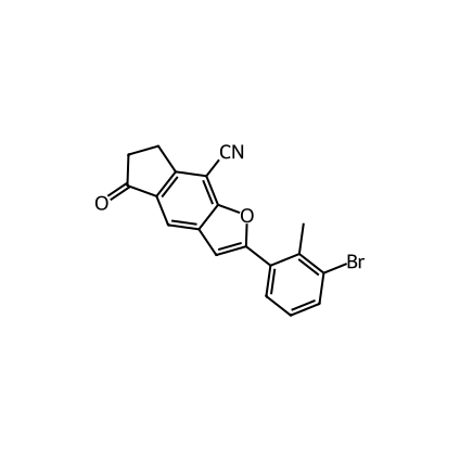 Cc1c(Br)cccc1-c1cc2cc3c(c(C#N)c2o1)CCC3=O